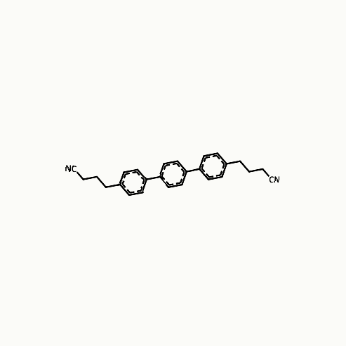 N#CCCCc1ccc(-c2ccc(-c3ccc(CCCC#N)cc3)cc2)cc1